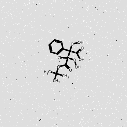 CC(C)(C)OC(=O)C(Cl)(OO)C(OO)(C(=O)O)c1ccccc1